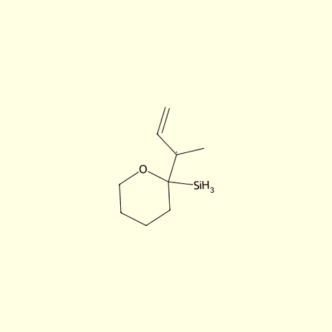 C=C[C](C)C1([SiH3])CCCCO1